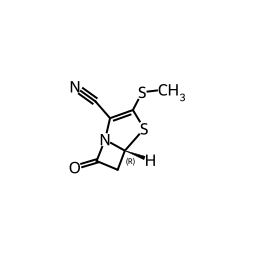 CSC1=C(C#N)N2C(=O)C[C@H]2S1